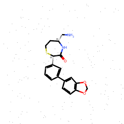 NC[C@H]1CCS[C@@H](c2cccc(-c3ccc4c(c3)OCO4)c2)C(=O)N1